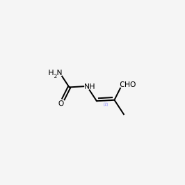 C/C(C=O)=C/NC(N)=O